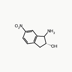 NC1c2cc([N+](=O)[O-])ccc2C[C@H]1O